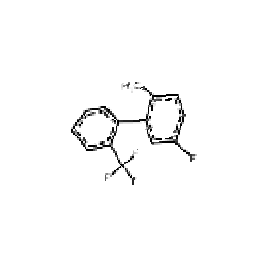 Cc1ccc(F)cc1-c1ccccc1C(F)(F)F